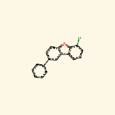 Clc1cccc2c1oc1ccc(-c3ccccc3)cc12